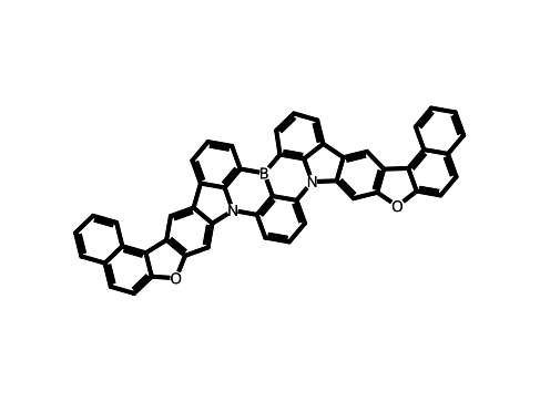 c1cc2c3c(c1)-n1c4cc5oc6ccc7ccccc7c6c5cc4c4cccc(c41)B3c1cccc3c4cc5c(cc4n-2c13)oc1ccc2ccccc2c15